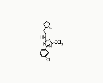 CN1CCCC1CCNc1nc(-c2cccc(Cl)c2)nc(C(Cl)(Cl)Cl)n1